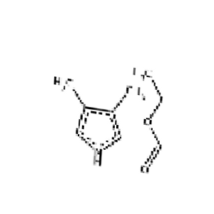 CCOC=O.Cc1c[nH]cc1C